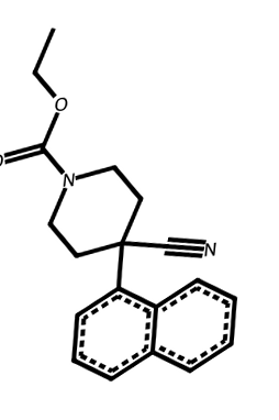 CCOC(=O)N1CCC(C#N)(c2cccc3ccccc23)CC1